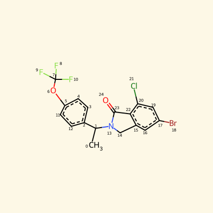 CC(c1ccc(OC(F)(F)F)cc1)N1Cc2cc(Br)cc(Cl)c2C1=O